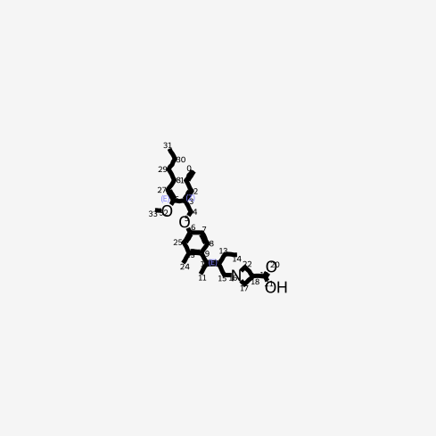 C=C/C=C(COc1ccc(/C(C)=C(\CC)CN2CC(C(=O)O)C2)c(C)c1)\C(=C/CCCC)OC